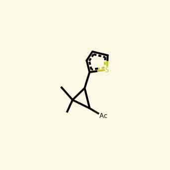 CC(=O)C1C(c2cccs2)C1(C)C